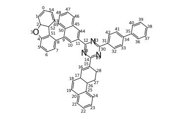 C1=CC2Oc3cccc(-c4cc(-c5nc(C6=CC7C=Cc8ccccc8C7CC6)nc(-c6ccc(-c7ccccc7)cc6)n5)cc5ccccc45)c3C2C=C1